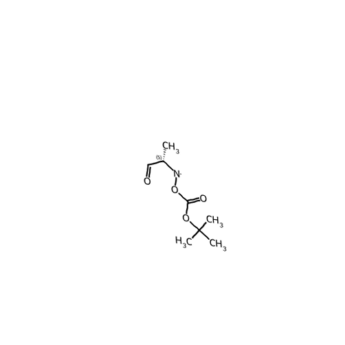 C[C@@H](C=O)[N]OC(=O)OC(C)(C)C